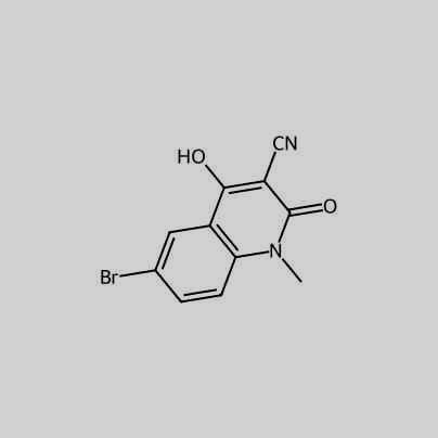 Cn1c(=O)c(C#N)c(O)c2cc(Br)ccc21